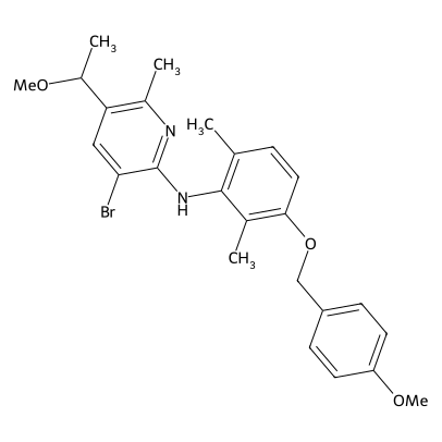 COc1ccc(COc2ccc(C)c(Nc3nc(C)c(C(C)OC)cc3Br)c2C)cc1